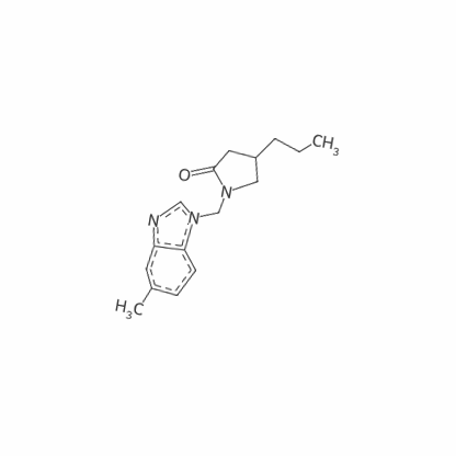 CCCC1CC(=O)N(Cn2cnc3cc(C)ccc32)C1